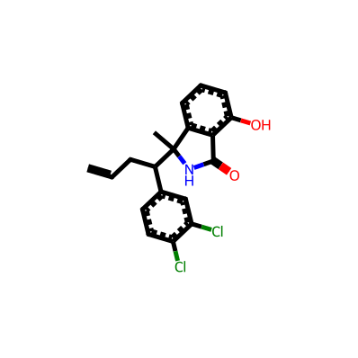 C=CCC(c1ccc(Cl)c(Cl)c1)C1(C)NC(=O)c2c(O)cccc21